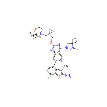 CN(C)C1(CNc2nc(OCC3(CN4CCO[C@@H]5C[C@@H]54)CC3)nc3cc(-c4ccc(F)c5sc(N)c(C#N)c45)ncc23)CCC1